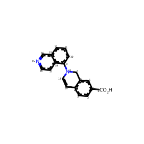 O=C(O)c1ccc2c(c1)CN(c1cccc3cnccc13)C=C2